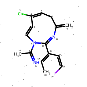 C=C1C/C=C(Cl)\C=C\N(C(C)=N)C(C(/C=C\I)=C/C)=N1